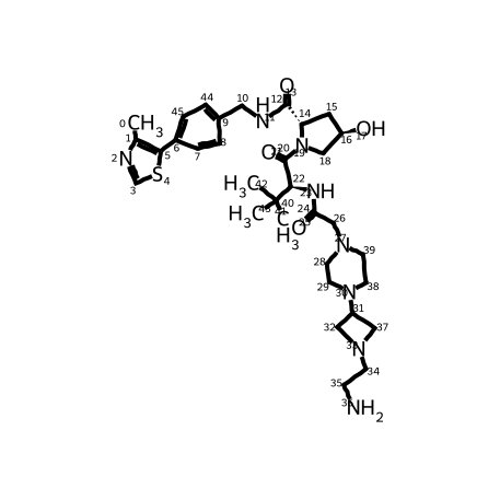 Cc1ncsc1-c1ccc(CNC(=O)[C@@H]2C[C@@H](O)CN2C(=O)[C@@H](NC(=O)CN2CCN(C3CN(CCN)C3)CC2)C(C)(C)C)cc1